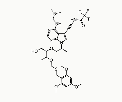 COc1cc(OC)c(CSCOC(C)[C@@H](CO)OC[C@H](C)n2cc(C#CNC(=O)C(F)(F)F)c3c(NCN(C)C)ncnc32)c(OC)c1